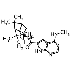 CNc1ccnc2[nH]c(C(=O)N[C@H]3CC4C(C)(C)C(C4(C)C)C3(C)C)cc12